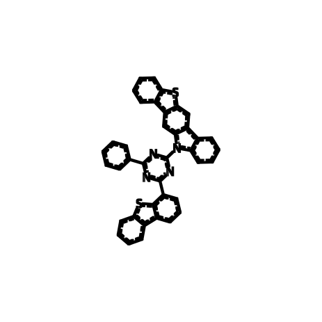 c1ccc(-c2nc(-c3cccc4c3sc3ccccc34)nc(-n3c4ccccc4c4cc5sc6ccccc6c5cc43)n2)cc1